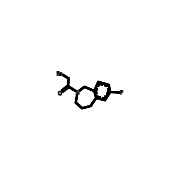 O=C(CBr)N1CCCc2cc(F)ccc2C1